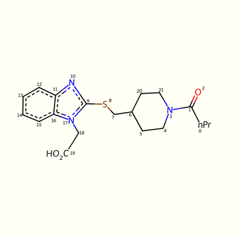 CCCC(=O)N1CCC(CSc2nc3ccccc3n2CC(=O)O)CC1